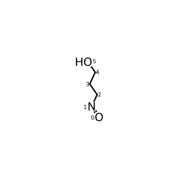 O=NCCCO